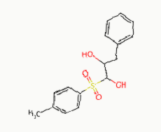 Cc1ccc(S(=O)(=O)C(O)C(O)Cc2ccccc2)cc1